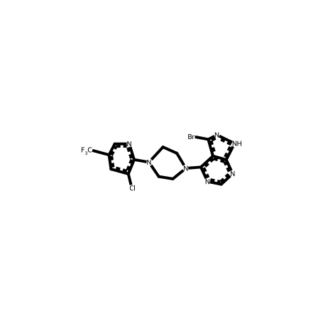 FC(F)(F)c1cnc(N2CCN(c3ncnc4[nH]nc(Br)c34)CC2)c(Cl)c1